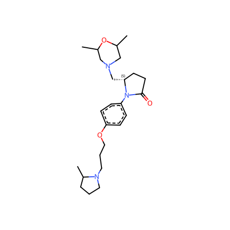 CC1CN(C[C@@H]2CCC(=O)N2c2ccc(OCCCN3CCCC3C)cc2)CC(C)O1